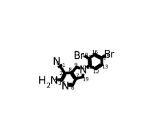 N#Cc1c(N)ncc2c1CN(c1ccc(Br)cc1Br)C2